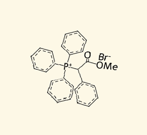 COC(=O)C(c1ccccc1)[P+](c1ccccc1)(c1ccccc1)c1ccccc1.[Br-]